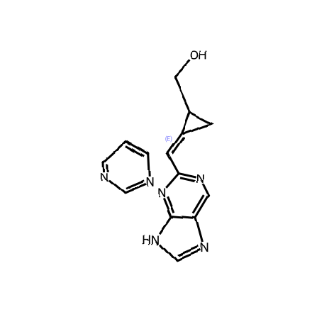 OCC1C/C1=C\c1ncc2nc[nH]c2n1.c1cncnc1